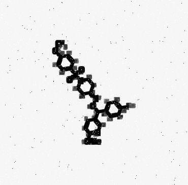 COc1ccc(C(ON=C2CCN(S(=O)(=O)c3ccc(OC(F)(F)F)cc3)CC2)c2ccc(F)cc2)cn1